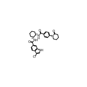 O=C(N[C@H]1CCCC[C@H]1NC(=O)c1ccc2c(Cl)c[nH]c2c1)c1ccc(N2CCCCC2=O)cc1